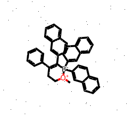 C[O+]1CCC(c2ccccc2)=C(c2ccc3ccccc3c2)[B-]1(c1ccc2ccccc2c1)c1ccc2ccccc2c1